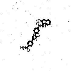 CNC(=O)c1ccc(-c2cn3c(n2)sc2cc(C(=O)N[C@H]4c5ccccc5C[C@H]4O)ccc23)cc1